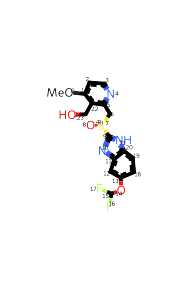 COc1ccnc(C[S@+]([O-])c2nc3cc(OC(F)F)ccc3[nH]2)c1CO